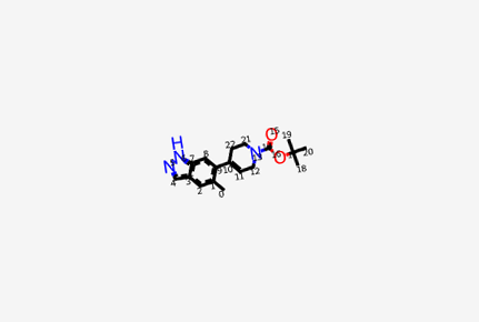 Cc1cc2cn[nH]c2cc1C1=CCN(C(=O)OC(C)(C)C)CC1